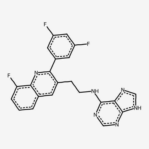 Fc1cc(F)cc(-c2nc3c(F)cccc3cc2CCNc2ncnc3[nH]cnc23)c1